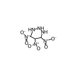 O=[N+]([O-])C1NNNC([N+](=O)[O-])C1[N+](=O)[O-]